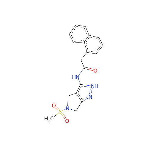 CS(=O)(=O)N1Cc2n[nH]c(NC(=O)Cc3cccc4ccccc34)c2C1